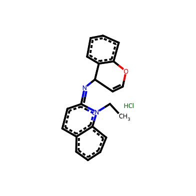 CCn1c(=NC2C=COc3ccccc32)ccc2ccccc21.Cl